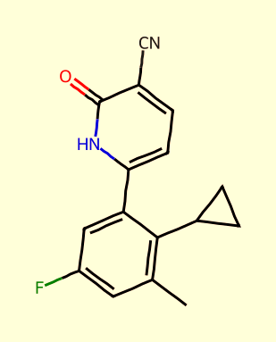 Cc1cc(F)cc(-c2ccc(C#N)c(=O)[nH]2)c1C1CC1